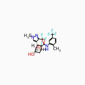 Cc1ccc(C(F)(F)F)cc1NC(=O)[C@@H]1[C@@H](c2cn(C)nc2C(F)(F)F)[C@H]2O[C@@H]1C[C@@H]2O